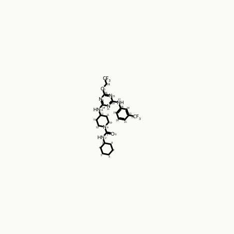 O=C(NC1CCCCC1)N1CCC(Nc2nc(Nc3cccc(C(F)(F)F)c3)nc(OCC(F)(F)F)n2)CC1